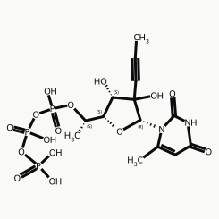 CC#CC1(O)[C@@H](O)[C@@H]([C@H](C)OP(=O)(O)OP(=O)(O)OP(=O)(O)O)O[C@H]1n1c(C)cc(=O)[nH]c1=O